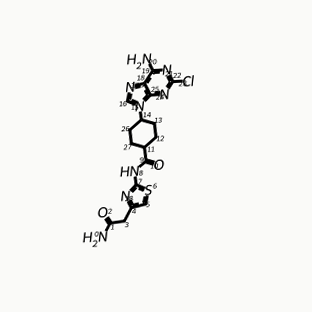 NC(=O)Cc1csc(NC(=O)C2CCC(n3cnc4c(N)nc(Cl)nc43)CC2)n1